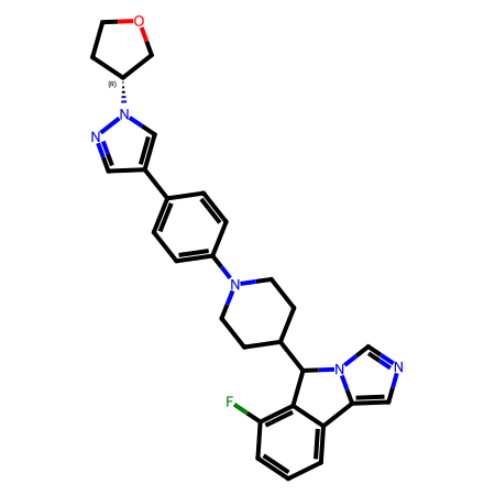 Fc1cccc2c1C(C1CCN(c3ccc(-c4cnn([C@@H]5CCOC5)c4)cc3)CC1)n1cncc1-2